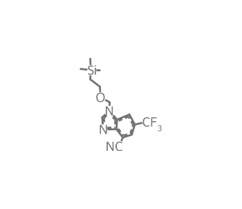 C[Si](C)(C)CCOCn1cnc2c(C#N)cc(C(F)(F)F)cc21